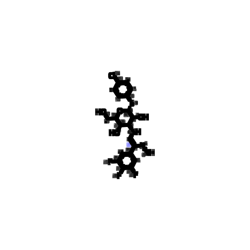 N=N/C(=C\NC1C(O)[C@@H](Sc2ccc(Cl)cc2)OC(CO)[C@@H]1O)c1cc(F)c(F)c(F)c1